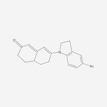 CC(=O)c1ccc2c(c1)CCN2C1=CC2=CC(=O)CCC2CC1